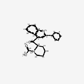 O=C(c1cc(-c2ccccc2)nc2ccccc12)C1CCCCN1C(=O)O